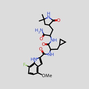 COc1ccc(F)c2[nH]c(C(=O)NC(CC3CC3)C(=O)NC(CC3CC(C)(C)NC3=O)C(N)=O)cc12